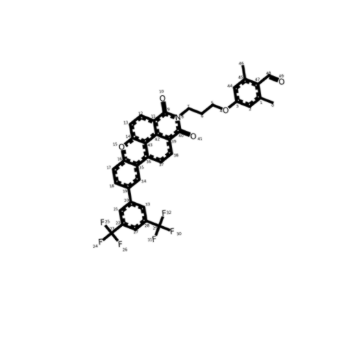 Cc1cc(OCCCn2c(=O)c3ccc4oc5ccc(-c6cc(C(F)(F)F)cc(C(F)(F)F)c6)cc5c5ccc(c2=O)c3c45)cc(C)c1C=O